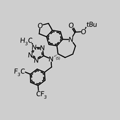 Cn1nnc(N(Cc2cc(C(F)(F)F)cc(C(F)(F)F)c2)[C@H]2CCCN(C(=O)OC(C)(C)C)c3cc4c(cc32)COC4)n1